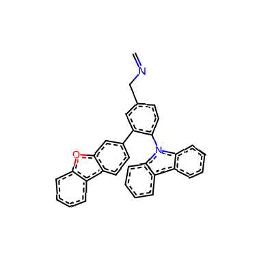 C=NCc1ccc(-n2c3ccccc3c3ccccc32)c(-c2ccc3c(c2)oc2ccccc23)c1